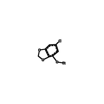 CCOc1cc(Cl)cc2c1OCO2